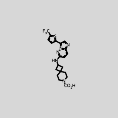 O=C(O)N1CCC2(CC1)CC(Nc1ccc3ncc(-c4ccc(C(F)(F)F)s4)n3n1)C2